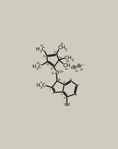 CC1=Cc2c(Br)cccc2[CH]1[Zr+2][C]1=C(C)C(C)=C(C)C1(C)C.[Br-].[Br-]